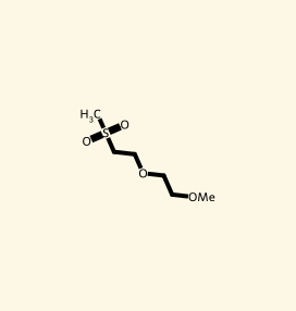 COCCOCCS(C)(=O)=O